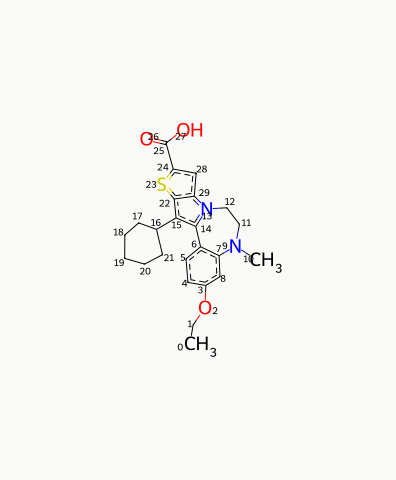 CCOc1ccc2c(c1)N(C)CCn1c-2c(C2CCCCC2)c2sc(C(=O)O)cc21